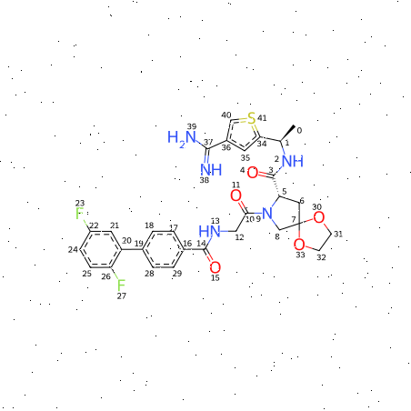 C[C@@H](NC(=O)[C@@H]1CC2(CN1C(=O)CNC(=O)c1ccc(-c3cc(F)ccc3F)cc1)OCCO2)c1cc(C(=N)N)cs1